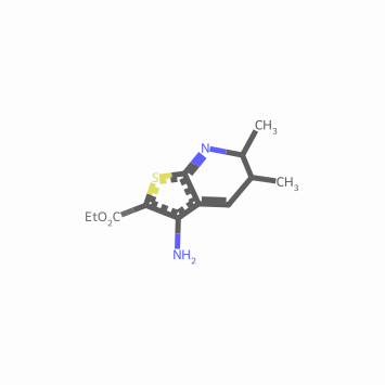 CCOC(=O)c1sc2c(c1N)=CC(C)C(C)N=2